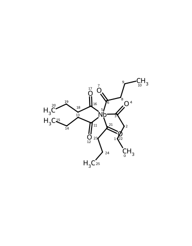 CCC[C](=O)[Nb]([C](=O)CCC)([C](=O)CCC)([C](=O)CCC)[C](=O)CCC